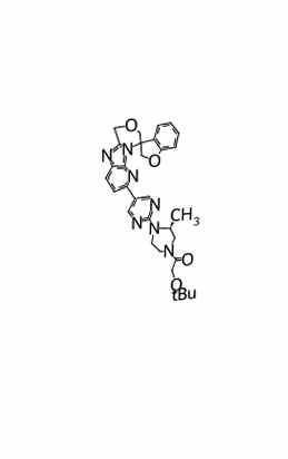 C[C@H]1CN(C(=O)COC(C)(C)C)CCN1c1ncc(-c2ccc3nc4n(c3n2)C2(COC4)COc3ccccc32)cn1